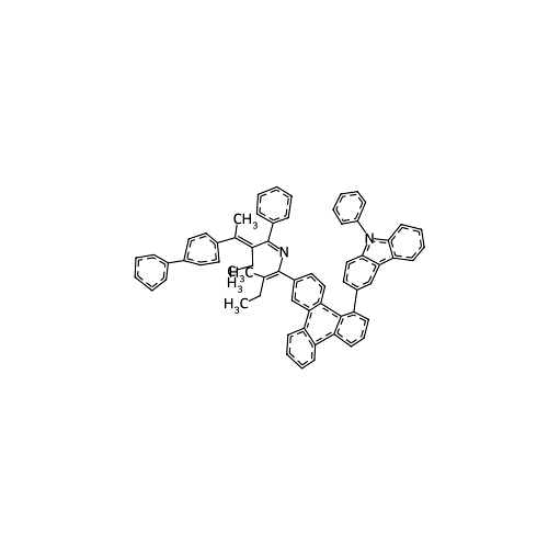 CC/C(C)=C(/N=C(\C(CC)=C(/C)c1ccc(-c2ccccc2)cc1)c1ccccc1)c1ccc2c(c1)c1ccccc1c1cccc(-c3ccc4c(c3)c3ccccc3n4-c3ccccc3)c12